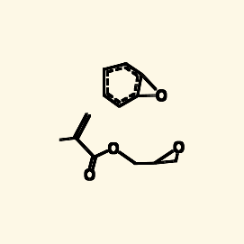 C=C(C)C(=O)OCC1CO1.c1ccc2c(c1)O2